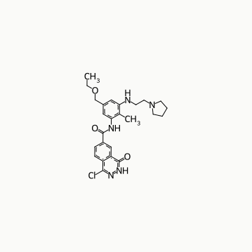 CCOCc1cc(NCCN2CCCC2)c(C)c(NC(=O)c2ccc3c(Cl)n[nH]c(=O)c3c2)c1